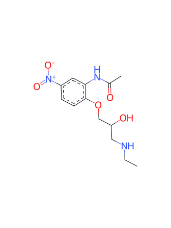 CCNCC(O)COc1ccc([N+](=O)[O-])cc1NC(C)=O